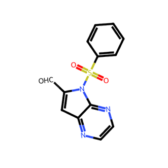 O=Cc1cc2nccnc2n1S(=O)(=O)c1ccccc1